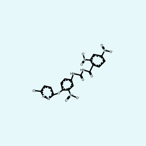 O=C(NC(=O)c1ccc([N+](=O)[O-])cc1[N+](=O)[O-])Nc1ccc(Oc2ccc(Cl)nn2)c([N+](=O)[O-])c1